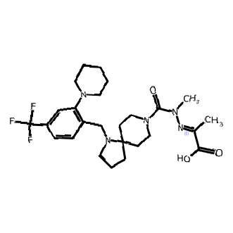 C/C(=N\N(C)C(=O)N1CCC2(CCCN2Cc2ccc(C(F)(F)F)cc2N2CCCCC2)CC1)C(=O)O